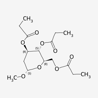 CCC(=O)OC[C@H]1O[C@H](OC)C[C@@H](OC(=O)CC)[C@@H]1OC(=O)CC